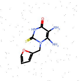 Nc1c(N)n(Cc2ccco2)c(=S)[nH]c1=O